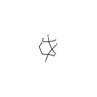 FC1(F)CCNC(F)(F)C1(F)F